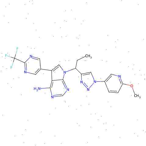 CCC(c1cn(-c2ccc(OC)nc2)nn1)n1cc(-c2cnc(C(F)(F)F)nc2)c2c(N)ncnc21